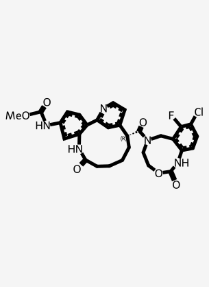 COC(=O)Nc1ccc2c(c1)NC(=O)CCCC[C@@H](C(=O)N1CCOC(=O)Nc3ccc(Cl)c(F)c3C1)c1ccnc-2c1